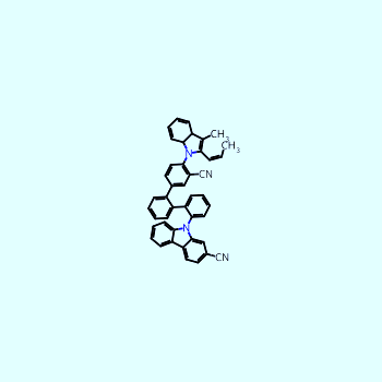 C/C=C\C1=C(C)C2C=CC=CC2N1c1ccc(-c2ccccc2-c2ccccc2-n2c3ccccc3c3ccc(C#N)cc32)cc1C#N